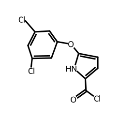 O=C(Cl)c1ccc(Oc2cc(Cl)cc(Cl)c2)[nH]1